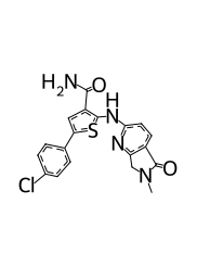 CN1Cc2nc(Nc3sc(-c4ccc(Cl)cc4)cc3C(N)=O)ccc2C1=O